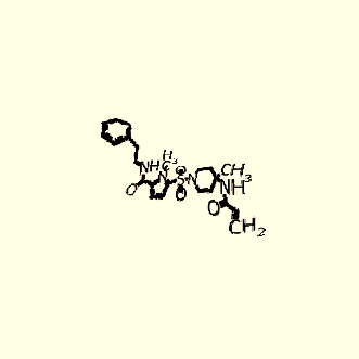 C=CC(=O)NC1(C)CCN(S(=O)(=O)c2ccc(C(=O)NCCc3ccccc3)n2C)CC1